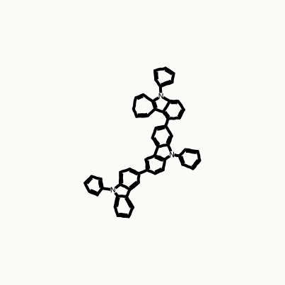 C1=Cc2c(n(-c3ccccc3)c3cccc(-c4ccc5c6cc(-c7ccc8c(c7)c7ccccc7n8-c7ccccc7)ccc6n(-c6ccccc6)c5c4)c23)C=CC1